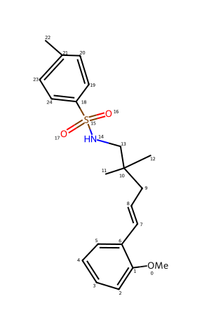 COc1ccccc1/C=C/CC(C)(C)CNS(=O)(=O)c1ccc(C)cc1